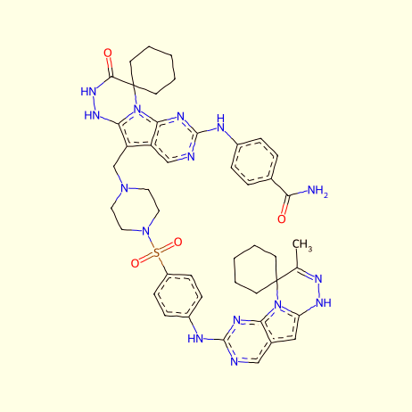 CC1=NNc2cc3cnc(Nc4ccc(S(=O)(=O)N5CCN(Cc6c7n(c8nc(Nc9ccc(C(N)=O)cc9)ncc68)C6(CCCCC6)C(=O)NN7)CC5)cc4)nc3n2C12CCCCC2